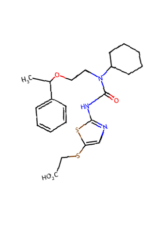 CC(OCCN(C(=O)Nc1ncc(SCC(=O)O)s1)C1CCCCC1)c1ccccc1